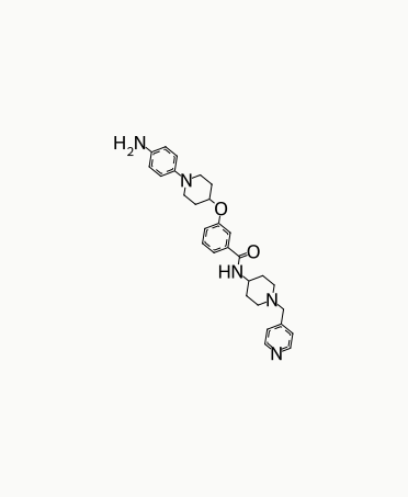 Nc1ccc(N2CCC(Oc3cccc(C(=O)NC4CCN(Cc5ccncc5)CC4)c3)CC2)cc1